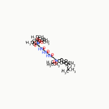 CC(C)CCCC(C)[C@H]1CCC2C3CC=C4CC(N(CCCCC(=O)NCCC(=O)NCCC(=O)NCCCC[C@@H](C(=O)OC(C)(C)C)N(CC(=O)OC(C)(C)C)CC(=O)OC(C)(C)C)C(=O)OC(C)(C)C)CC[C@]4(C)C3CC[C@@]21C